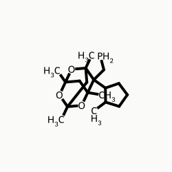 CC1CCCC1C1(CP)C2(C)CC3(C)OC(C)(CC1(C)O3)O2